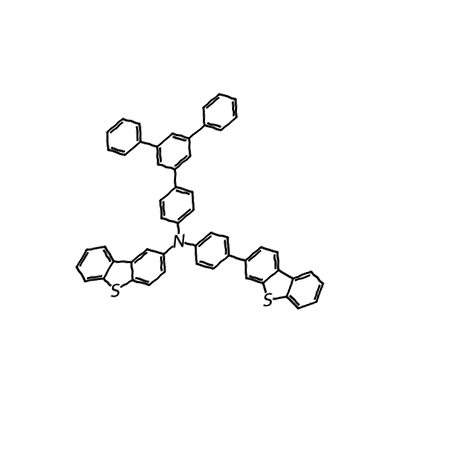 c1ccc(-c2cc(-c3ccccc3)cc(-c3ccc(N(c4ccc(-c5ccc6c(c5)sc5ccccc56)cc4)c4ccc5sc6ccccc6c5c4)cc3)c2)cc1